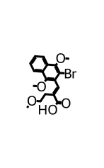 COCCC(=Cc1c(Br)c(OC)c2ccccc2c1OC)C(=O)O